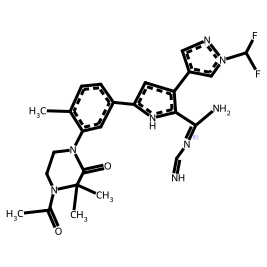 CC(=O)N1CCN(c2cc(-c3cc(-c4cnn(C(F)F)c4)c(/C(N)=N\C=N)[nH]3)ccc2C)C(=O)C1(C)C